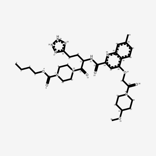 CCCCOC(=O)N1CCN(C(=O)C(CCc2nn[nH]n2)NC(=O)c2cc(OCC(=O)N3CCC(OC)CC3)c3ccc(C)cc3n2)CC1